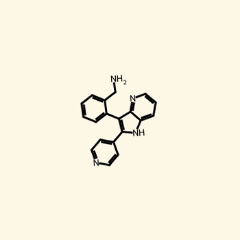 NCc1ccccc1-c1c(-c2ccncc2)[nH]c2cccnc12